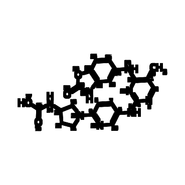 Cc1cnc(Nc2ccc(N3CCC(NC(=O)O)C3)nc2)nc1Nc1ccc2oc(=O)[nH]c2c1